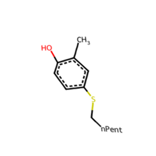 CCCCCCSc1ccc(O)c(C)c1